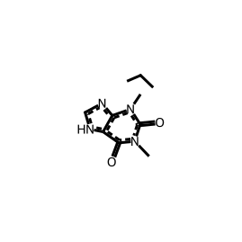 CCC.Cn1c(=O)c2[nH]cnc2n(C)c1=O